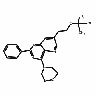 CC(C)(O)OCCc1cnc2c(N3CCOCC3)nc(-c3ccccc3)nc2c1